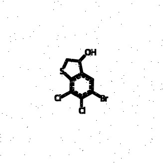 OC1CSc2c1cc(Br)c(Cl)c2Cl